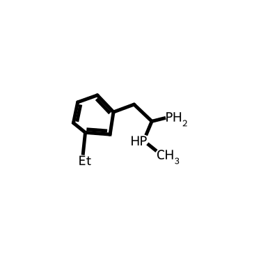 CCc1cccc(CC(P)PC)c1